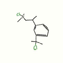 CC(C[Si](C)(C)Cl)c1cccc(C(C)(C)Cl)c1